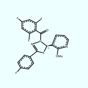 COc1ncccc1[C@H]1SC(c2ccc(F)cc2)=NN1C(=O)c1c(F)cc(F)cc1F